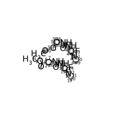 CCOC(=O)c1ccc(NC(=O)Nc2ccc(N3CCCCC3)c(F)c2)cc1.COCCOc1cccc(NC(=O)Nc2ccc(N3CCCCC3)c(F)c2)c1